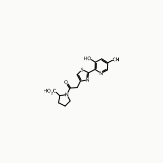 N#Cc1cnc(-c2nc(CC(=O)N3CCCC3C(=O)O)cs2)c(O)c1